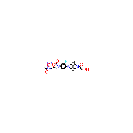 CC(=O)[NH+]([O-])C[C@@H]1CN(c2ccc(N3C[C@H]4CN(C(=O)CO)C[C@H]4C3)c(F)c2)C(=O)O1